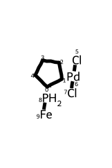 [CH]1CCCC1.[Cl][Pd][Cl].[PH2][Fe]